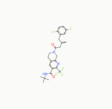 C=C(CC(=O)N1CCc2cc(C(=O)NC(C)(C)C)c(C(F)(F)F)nc2C1)Cc1cc(F)ccc1F